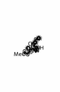 COC(=O)C1OC1C(=O)N1CCCCCC1CNc1ncnc2[nH]cc(C(=O)c3ccc(Oc4ccccc4)cc3Cl)c12